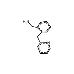 NCc1ccccc1Cc1ccccn1